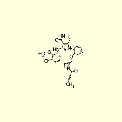 CC#CC(=O)N1CC[C@H]1COc1cnccc1-n1cc(Nc2cccc(Cl)c2OC)c2c1CCNC2=O